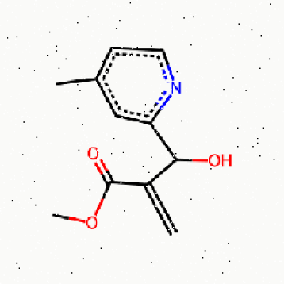 C=C(C(=O)OC)C(O)c1cc(C)ccn1